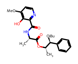 COc1ccnc(C(=O)N[C@@H](C)C(=O)O[C@@H](C)[C@@H](OCC(C)C)c2ccccc2)c1O